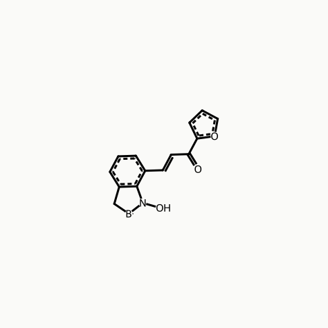 O=C(/C=C/c1cccc2c1N(O)[B]C2)c1ccco1